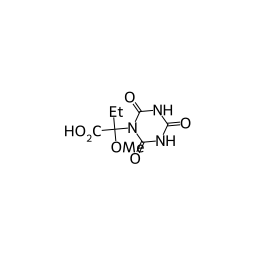 CCC(OC)(C(=O)O)n1c(=O)[nH]c(=O)[nH]c1=O